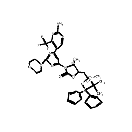 C[C@@H](CC1OC(=O)N(c2cc(-c3cnc(N)nc3C(F)(F)F)nc(N3CCOCC3)n2)[C@H]1C)O[Si](c1ccccc1)(c1ccccc1)C(C)(C)C